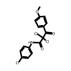 COc1ccc(C(=O)C(Cl)(Cl)C(=O)Nc2ccc(Cl)cc2)cc1